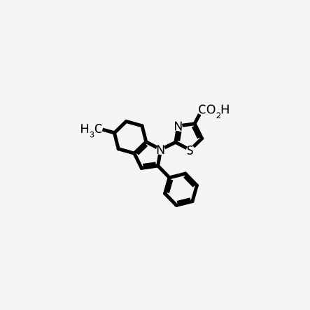 CC1CCc2c(cc(-c3ccccc3)n2-c2nc(C(=O)O)cs2)C1